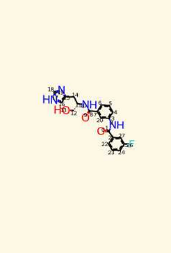 O=C(Nc1cccc(C(=O)N[C@H](CO)Cc2c[nH]cn2)c1)c1cccc(F)c1